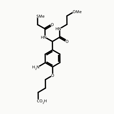 COCCNC(=O)C(NC(=O)CSC)c1ccc(OCCCC(=O)O)c(N)c1